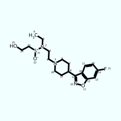 CCN(CCN1CCC(c2noc3cc(F)ccc23)CC1)[S+]([O-])CCO